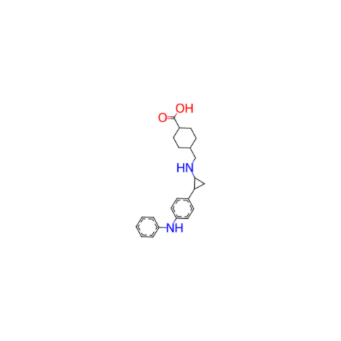 O=C(O)C1CCC(CNC2CC2c2ccc(Nc3ccccc3)cc2)CC1